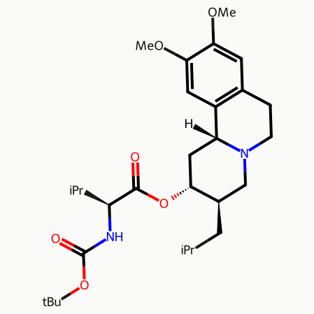 COc1cc2c(cc1OC)[C@H]1C[C@@H](OC(=O)[C@@H](NC(=O)OC(C)(C)C)C(C)C)[C@H](CC(C)C)CN1CC2